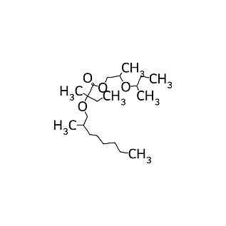 CCCCCCC(C)COC(C)(CC)C(=O)OCC(C)OC(C)CC